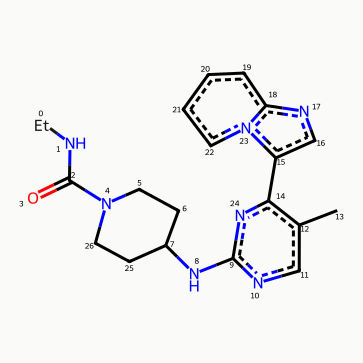 CCNC(=O)N1CCC(Nc2ncc(C)c(-c3cnc4ccccn34)n2)CC1